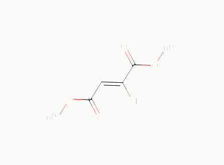 CCCOC(=O)/C=C(\Cl)C(=O)OCCC